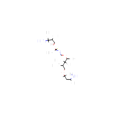 CC(N)CC(C)(C)OCC(C)C(C)(C)C(C)OCN1SC1(C)OCC(C)C(C)(C)N